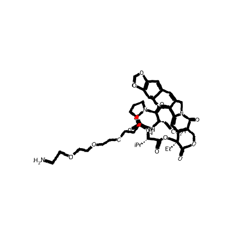 CC[C@@]1(OC(=O)[C@@H](NC(=O)[C@@H]2CCCN2C(=O)[C@H](CC(=O)O)NC(=O)CCOCCOCCOCCN)C(C)C)C(=O)OCc2c1cc1n(c2=O)Cc2cc3cc4c(cc3nc2-1)OCO4